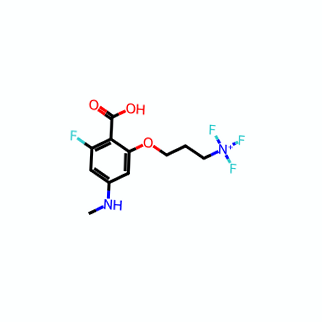 CNc1cc(F)c(C(=O)O)c(OCCC[N+](F)(F)F)c1